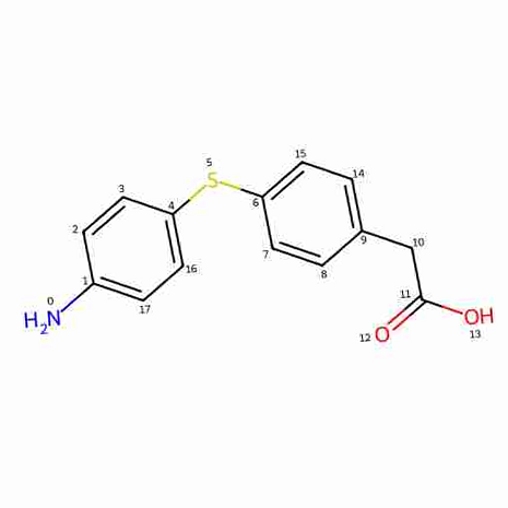 Nc1ccc(Sc2ccc(CC(=O)O)cc2)cc1